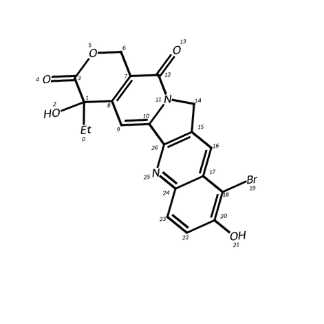 CCC1(O)C(=O)OCc2c1cc1n(c2=O)Cc2cc3c(Br)c(O)ccc3nc2-1